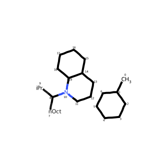 CC1CCCCC1.CCCCCCCCC(C(C)C)N1CCCC2CCCCC21